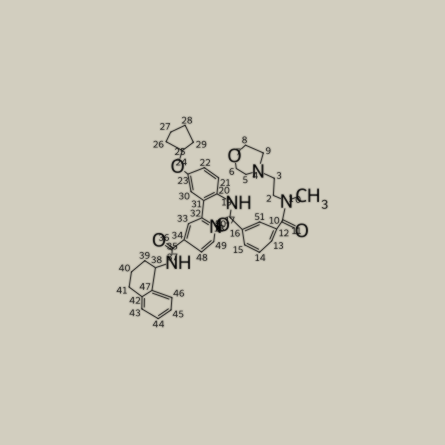 CN(CCN1CCOCC1)C(=O)c1cccc(C(=O)Nc2ccc(OC3CCCC3)cc2-c2cc(C(=O)NC3CCCc4ccccc43)ccn2)c1